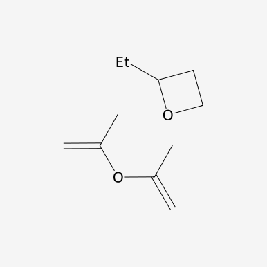 C=C(C)OC(=C)C.CCC1CCO1